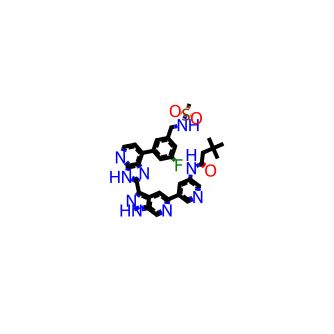 CC(C)(C)CC(=O)Nc1cncc(-c2cc3c(-c4nc5c(-c6cc(F)cc(CNS(C)(=O)=O)c6)ccnc5[nH]4)n[nH]c3cn2)c1